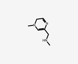 CNCC1=CN(C)CC=N1